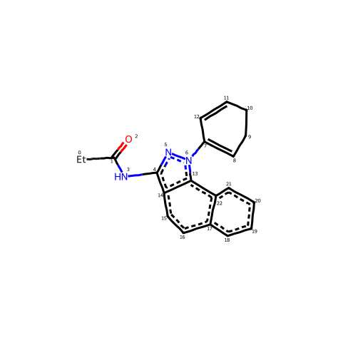 CCC(=O)Nc1nn(C2=CCCC=C2)c2c1ccc1ccccc12